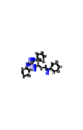 C1CCC(/N=C(\NCCCNC2CCCCC2)NC2CCCCC2)CC1